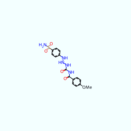 COc1ccc(C(=O)NC(=O)NNNc2ccc(S(N)(=O)=O)cc2)cc1